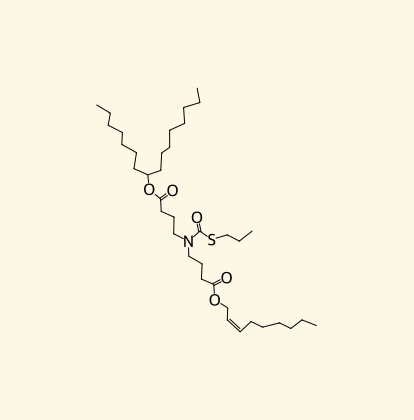 CCCCCC/C=C\COC(=O)CCCN(CCCC(=O)OC(CCCCCCC)CCCCCCCC)C(=O)SCCC